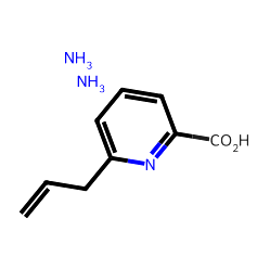 C=CCc1cccc(C(=O)O)n1.N.N